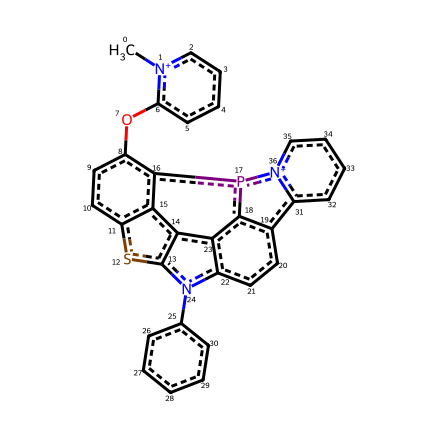 C[n+]1ccccc1Oc1ccc2sc3c4c2c1p1c2c(ccc(c42)n3-c2ccccc2)c2cccc[n+]21